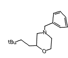 CC(C)(C)CCC1CN(Cc2ccccc2)CCO1